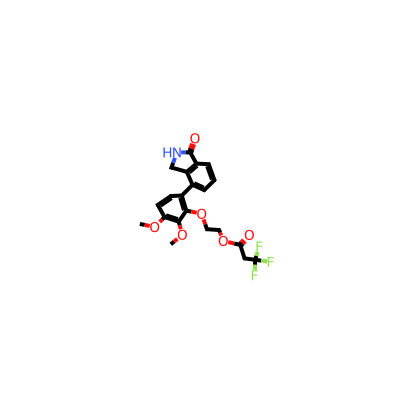 COc1ccc(-c2cccc3c2CNC3=O)c(OCCOC(=O)CC(F)(F)F)c1OC